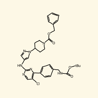 CC(C)(C)OC(=O)NCc1ccc(-c2nc(Nc3cnn(C4CCN(C(=O)OCc5ccccc5)CC4)c3)ncc2Cl)cc1